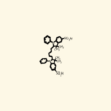 CC1(C)C(/C=C/C=C/C=C2/N(c3ccccc3)c3ccc(S(=O)(=O)O)cc3C2(C)C)=[N+](c2ccccc2)c2ccc(S(=O)(=O)O)cc21